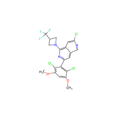 COc1cc(OC)c(Cl)c(-c2cc3cnc(Cl)cc3c(N3CC(C(F)(F)F)C3)n2)c1Cl